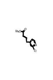 COC(=O)CCCc1ccnc(Cl)c1